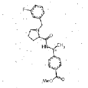 COC(=O)c1ccc([C@H](C)NC(=O)C2CCCN2Cc2cccc(F)c2)cc1